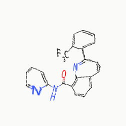 O=C(Nc1ccccn1)c1cccc2ccc(-c3ccccc3C(F)(F)F)nc12